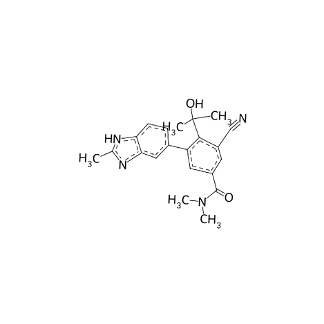 Cc1nc2cc(-c3cc(C(=O)N(C)C)cc(C#N)c3C(C)(C)O)ccc2[nH]1